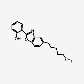 CCCCCCc1ccc2oc(-c3ccccc3O)nc2c1